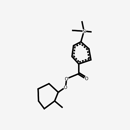 CC1CCCC[C]1OOC(=O)c1ccc([Si](C)(C)C)cc1